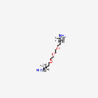 [2H]C([2H])(N)C([2H])([2H])CCOCCOCCOCCC([2H])([2H])C([2H])([2H])N